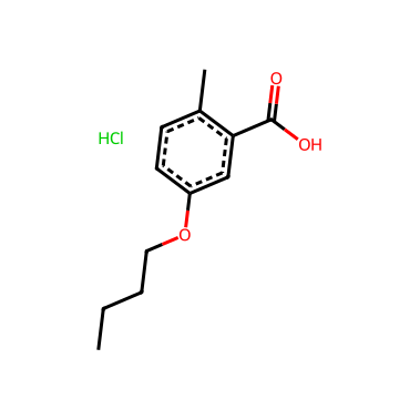 CCCCOc1ccc(C)c(C(=O)O)c1.Cl